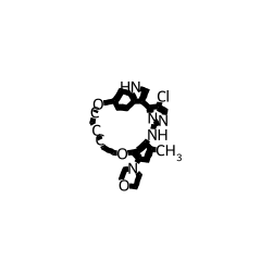 Cc1cc(N2CCOCC2)c2cc1Nc1ncc(Cl)c(n1)-c1c[nH]c3cc(ccc13)OCCCCCCO2